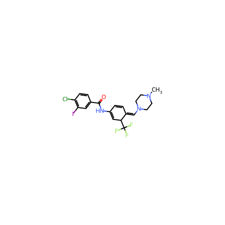 CN1CCN(C=C2C=CC(NC(=O)c3ccc(Cl)c(I)c3)=CC2C(F)(F)F)CC1